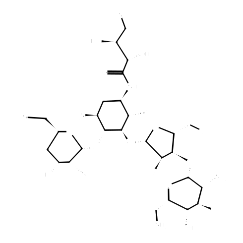 NC[C@@H]1C[C@@H](O)[C@@H](N)[C@@H](O[C@H]2[C@H](O[C@@H]3O[C@H](CO)[C@@H](O[C@H]4O[C@@H](CN)[C@@H](O)[C@H](O)[C@H]4N)[C@H]3O)[C@@H](O)[C@H](NC(=O)[C@@H](O)[C@@H](O)CN)C[C@@H]2N)O1